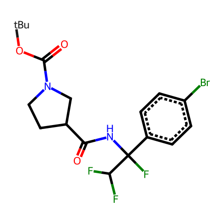 CC(C)(C)OC(=O)N1CCC(C(=O)NC(F)(c2ccc(Br)cc2)C(F)F)C1